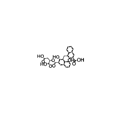 O=C(O)CC(OC(=O)c1cc2ccccc2c(Cc2c(O)c(C(=O)O)cc3ccccc23)c1O)C(=O)O